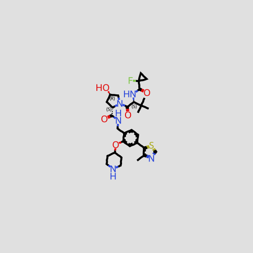 Cc1ncsc1-c1ccc(CNC(=O)[C@@H]2C[C@@H](O)CN2C(=O)[C@@H](NC(=O)C2(F)CC2)C(C)(C)C)c(OC2CCNCC2)c1